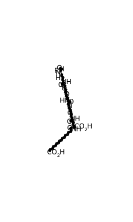 O=C(O)CCCCCCCCCCCCCCC(=O)N[C@@H](CCC(=O)NCCOCCOCC(=O)NCCOCCOCC(=O)NCCCC[C@H](NF)C(=O)I)C(=O)O